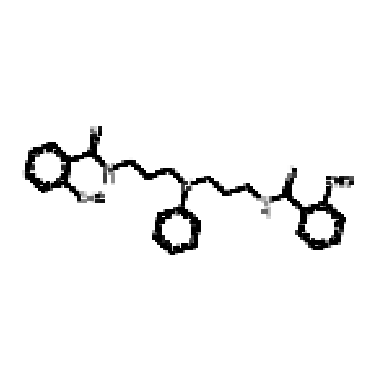 O=Cc1ccccc1C(=O)NCCCN(CCCNC(=O)c1ccccc1C=O)c1ccccc1